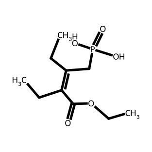 CCOC(=O)C(CC)=C(CC)CP(=O)(O)O